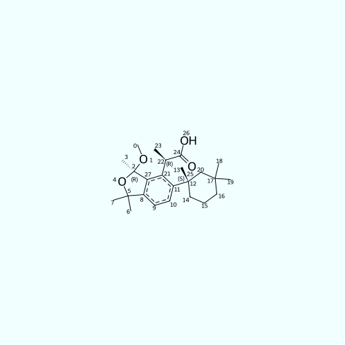 CO[C@]1(C)OC(C)(C)c2ccc([C@@]3(C)CCCC(C)(C)C3)c([C@@H](C)C(=O)O)c21